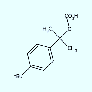 CC(C)(C)c1ccc(C(C)(C)OC(=O)O)cc1